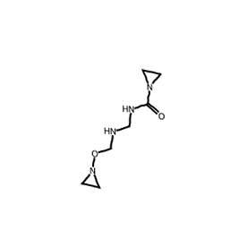 O=C(NCNCON1CC1)N1CC1